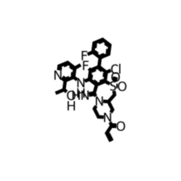 C=CC(=O)N1CCN2C(=N)c3c(Nc4c(C)ccnc4C(C)O)c(F)c(-c4ccccc4F)c(Cl)c3S(=O)(=O)CC2C1